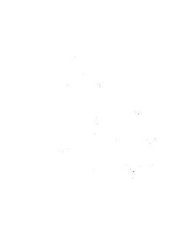 Cn1c(C=O)c(-c2cnc3ccccc3c2)c2c(N)ncnc21